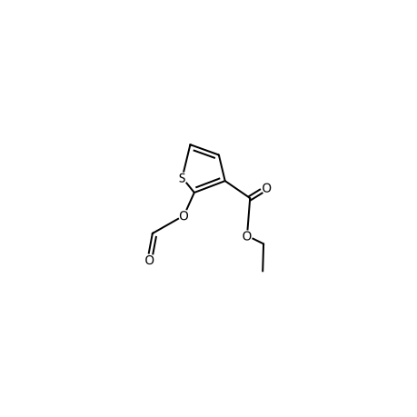 CCOC(=O)c1ccsc1OC=O